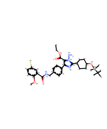 CCOC(=O)c1c(-c2ccc(CNC(=O)c3cc(F)ccc3OC)cc2)nc(C2CCC(O[Si](C)(C)C(C)(C)C)CC2)n1N